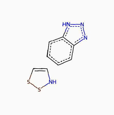 C1=CSSN1.c1ccc2[nH]nnc2c1